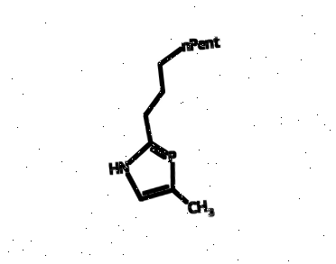 CCCCCCCCc1[nH]cc(C)p1